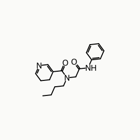 CCCCN(CC(=O)Nc1ccccc1)C(=O)C1=CN=CCC1